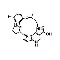 CC1CCNC2=C(C(=O)O)CNc3ccc(nc32)N2CCC[C@@H]2c2cc(F)ccc2O1